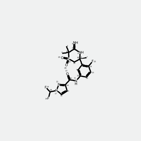 CC1(C)C(=N)N[C@](C)(c2cc(NC(=O)c3ccn(C(F)F)n3)ccc2F)CS1(=O)=O